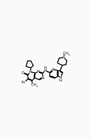 CC(=O)c1c(C)c2cnc(Nc3ccc4[nH]cc(C5CCN(C)CC5)c4n3)nc2n(C2CCCC2)c1=O